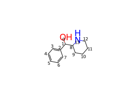 OC(c1ccccc1)C1CCCCN1